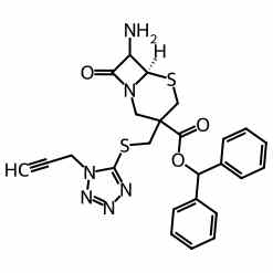 C#CCn1nnnc1SCC1(C(=O)OC(c2ccccc2)c2ccccc2)CS[C@@H]2C(N)C(=O)N2C1